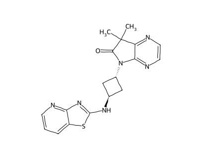 CC1(C)C(=O)N([C@H]2C[C@H](Nc3nc4ncccc4s3)C2)c2nccnc21